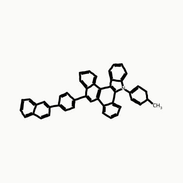 CC1C=CC(n2c3ccccc3c3c4c5ccccc5c(-c5ccc(-c6ccc7ccccc7c6)cc5)cc4c4ccccc4c32)=CC1